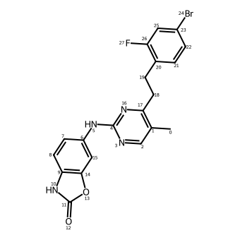 Cc1cnc(Nc2ccc3[nH]c(=O)oc3c2)nc1CCc1ccc(Br)cc1F